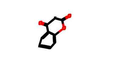 O=C1[C]C(=O)c2ccccc2O1